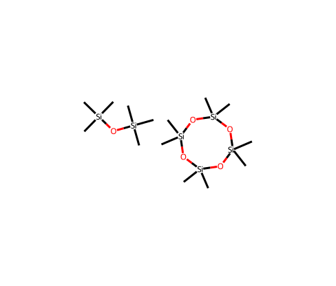 C[Si](C)(C)O[Si](C)(C)C.C[Si]1(C)O[Si](C)(C)O[Si](C)(C)O[Si](C)(C)O1